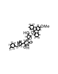 COc1ccc(C(OC[C@@H]2O[C@H](n3cc(-c4cn(Cc5cccc(C)c5)nn4)c(=O)[nH]c3=O)CC2O)(c2ccccc2)c2ccccc2)cc1